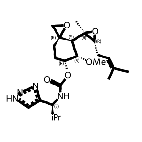 CO[C@@H]1[C@H](OC(=O)N[C@H](c2c[nH]nn2)C(C)C)CC[C@]2(CO2)[C@H]1[C@@]1(C)O[C@@H]1CC=C(C)C